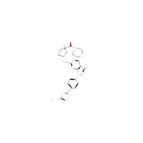 Cc1nnc(-c2ccc(-n3nc(Br)c4cnc(N[C@@H]5CCC(C)(C(=O)N6CCNCC6)C5)nc43)cc2)o1